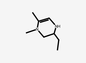 CCC1CN(C)C(C)=CN1